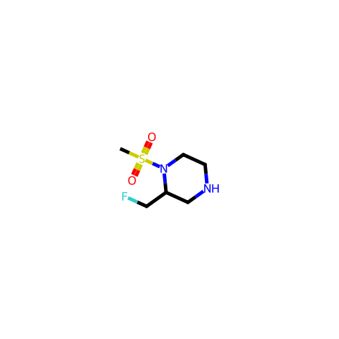 CS(=O)(=O)N1CCNCC1CF